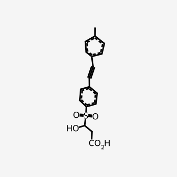 Cc1ccc(C#Cc2ccc(S(=O)(=O)C(O)CC(=O)O)cc2)cc1